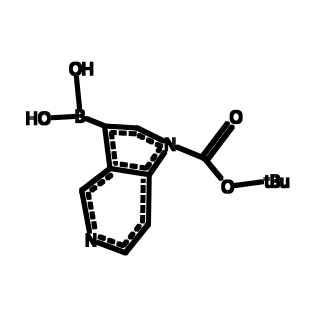 CC(C)(C)OC(=O)n1cc(B(O)O)c2cnccc21